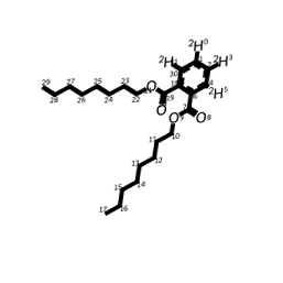 [2H]c1c([2H])c([2H])c(C(=O)OCCCCCCCC)c(C(=O)OCCCCCCCC)c1[2H]